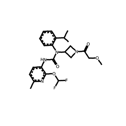 COCC(=O)N1CC(N(C(=O)Nc2ccc(C)nc2OC(F)F)c2ccccc2C(C)C)C1